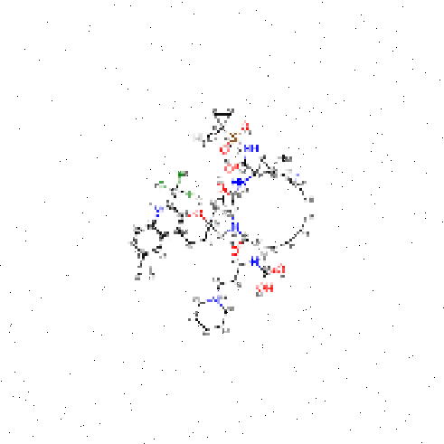 Cc1ccc2nc(C(F)(F)F)c3c(c2c1)CC[C@]1(C[C@H]2C(=O)N[C@]4(C(=O)NS(=O)(=O)C5(C)CC5)C[C@H]4/C=C\CCCCC[C@H](N(CCCN4CCCCC4)C(=O)O)C(=O)N2C1)O3